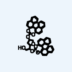 OCC(Op1oc2ccc3ccccc3c2c2c(ccc3ccccc32)o1)C1CC(Op2oc3ccc4ccccc4c3c3c(ccc4ccccc43)o2)CO1